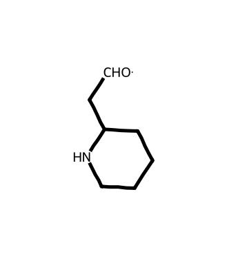 O=[C]CC1CCCCN1